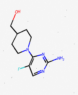 Nc1ncc(F)c(N2CCC(CO)CC2)n1